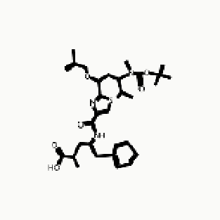 C=C(C)COC(CC(C(C)C)N(C)C(=O)OC(C)(C)C)c1nc(C(=O)NC(Cc2ccccc2)CC(C)C(=O)O)cs1